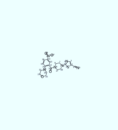 N#Cc1cnc(N2CCN(C(=O)c3cc([N+](=O)[O-])ccc3N3CCOCC3)CC2)s1